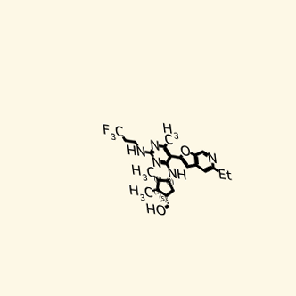 CCc1cc2cc(-c3c(C)nc(NCCC(F)(F)F)nc3N[C@@H]3C[C@H](CO)[C@@H](C)[C@H]3C)oc2cn1